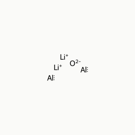 [Al].[Al].[Li+].[Li+].[O-2]